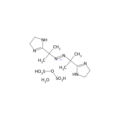 CC(C)(/N=N/C(C)(C)C1=NCCN1)C1=NCCN1.O.O=S(=O)(O)OS(=O)(=O)O